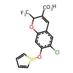 O=C(O)C1=Cc2cc(Cl)c(O[SH]3C=CC=C3)cc2OC1C(F)(F)F